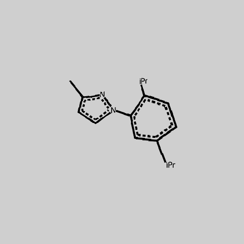 Cc1ccn(-c2cc(C(C)C)ccc2C(C)C)n1